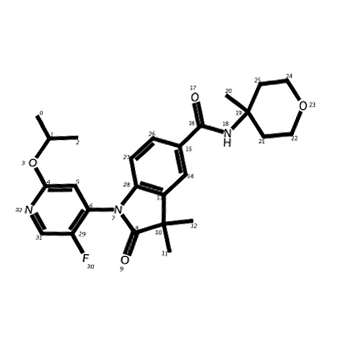 CC(C)Oc1cc(N2C(=O)C(C)(C)c3cc(C(=O)NC4(C)CCOCC4)ccc32)c(F)cn1